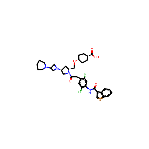 O=C(Nc1cc(F)c(CC(=O)N2C[C@@H](N3CC(N4CCCCC4)C3)C[C@H]2CO[C@H]2CC[C@H](C(=O)O)CC2)cc1Cl)c1csc2ccccc12